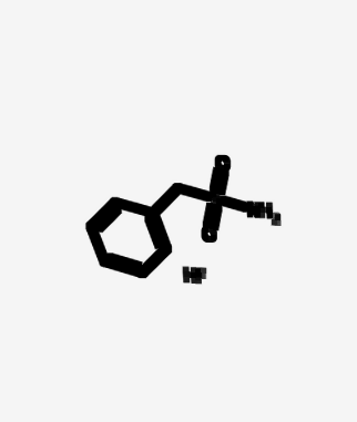 F.NS(=O)(=O)Cc1ccccc1